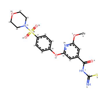 CC(C)Oc1cc(C(=O)NC(=N)S)cc(Oc2ccc(S(=O)(=O)N3CCOCC3)cc2)n1